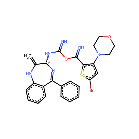 C=C1Nc2ccccc2C(c2ccccc2)=N[C@@H]1NC(=N)OC(=N)c1sc(Br)cc1N1CCOCC1